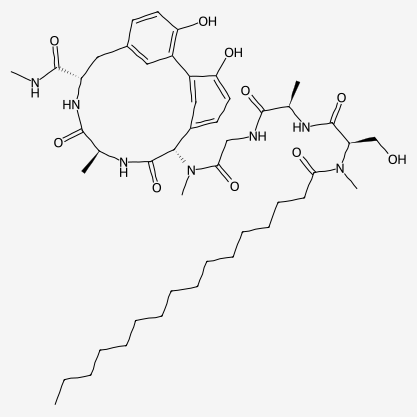 CCCCCCCCCCCCCCCC(=O)N(C)[C@H](CO)C(=O)N[C@H](C)C(=O)NCC(=O)N(C)[C@@H]1C(=O)N[C@@H](C)C(=O)N[C@H](C(=O)NC)Cc2ccc(O)c(c2)-c2cc1ccc2O